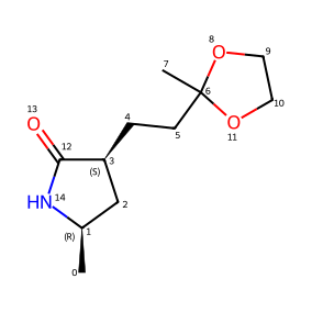 C[C@@H]1C[C@H](CCC2(C)OCCO2)C(=O)N1